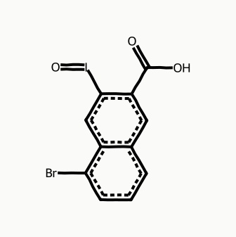 O=Ic1cc2c(Br)cccc2cc1C(=O)O